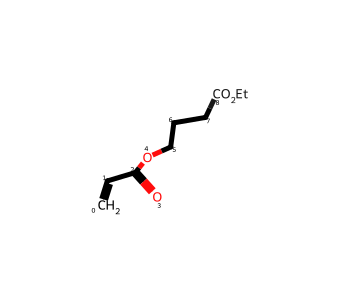 C=CC(=O)OCCCC(=O)OCC